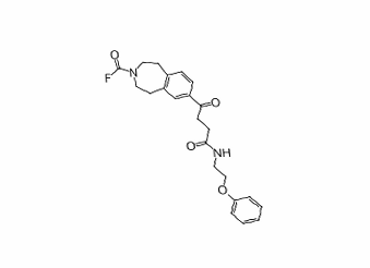 O=C(CCC(=O)c1ccc2c(c1)CCN(C(=O)F)CC2)NCCOc1ccccc1